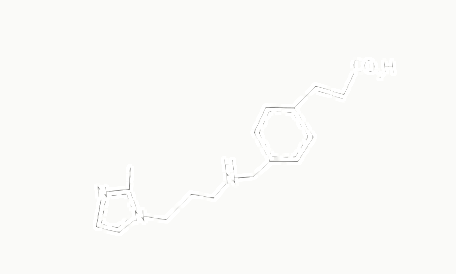 Cc1nccn1CCCNCc1ccc(/C=C/C(=O)O)cc1